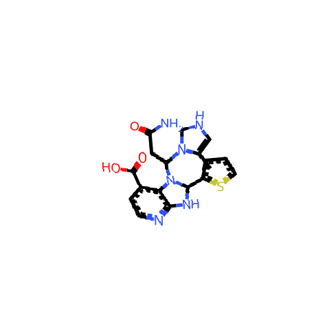 CC1=CNCN1C(CC(N)=O)N1c2c(C(=O)O)ccnc2NC1c1cccs1